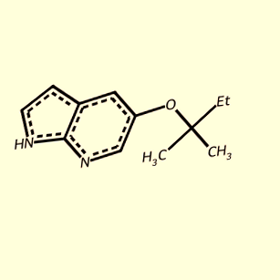 CCC(C)(C)Oc1cnc2[nH]ccc2c1